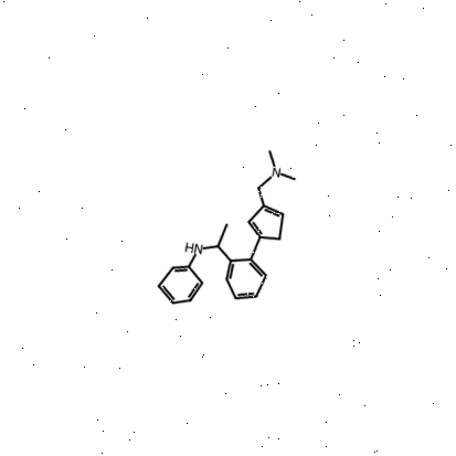 CC(Nc1ccccc1)c1ccccc1C1=CC(CN(C)C)=CC1